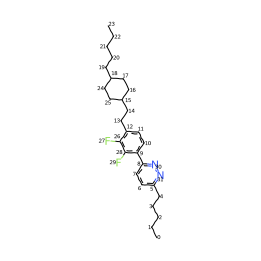 CCCCCc1ccc(-c2ccc(CCC3CCC(CCCCC)CC3)c(F)c2F)nn1